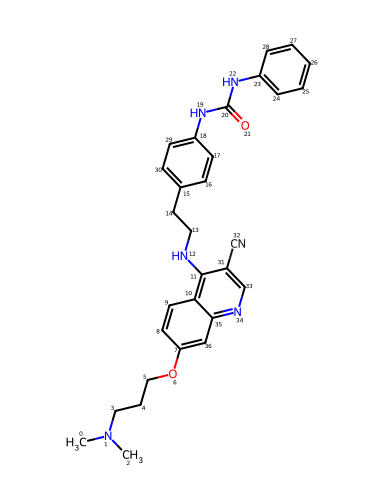 CN(C)CCCOc1ccc2c(NCCc3ccc(NC(=O)Nc4ccccc4)cc3)c(C#N)cnc2c1